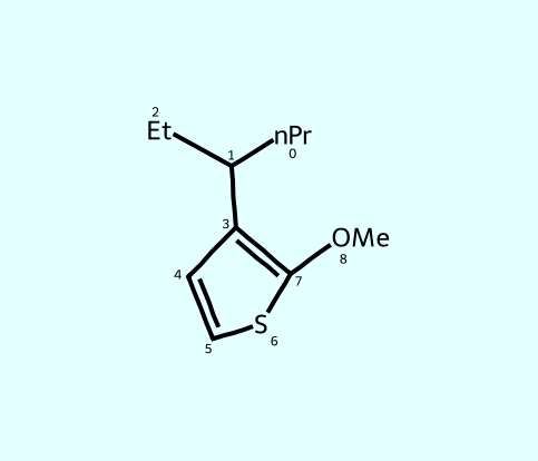 CCCC(CC)c1ccsc1OC